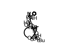 CN(C)C(=O)[C@@H](NC(=O)CNC(=O)C(=O)[C@@H]1CCCCCCCOC(=O)C[C@H](NC(=O)OC(C)(C)C)C(=O)N2CC3C([C@H]2C(=O)N1)C3(C)C)c1ccccc1